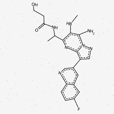 CBc1c(C(C)NC(=O)CCO)nc2c(-c3cnc4ccc(F)cc4c3)cnn2c1N